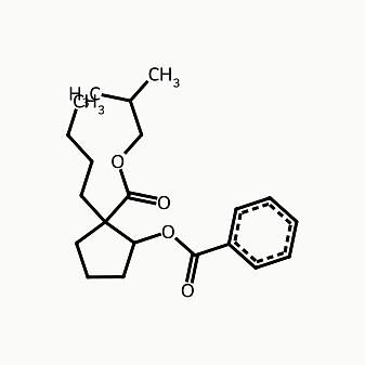 CCCCC1(C(=O)OCC(C)C)CCCC1OC(=O)c1ccccc1